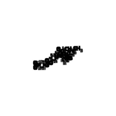 CCOC(=O)[C@H](Cc1ccc(OC(=O)Oc2ccc([N+](=O)[O-])cc2)cc1)NC(=O)[C@@H]1CCCN1S(=O)(=O)c1ccc(C)cc1